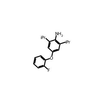 CC(C)c1cc(Oc2ccccc2F)cc(C(C)C)c1N